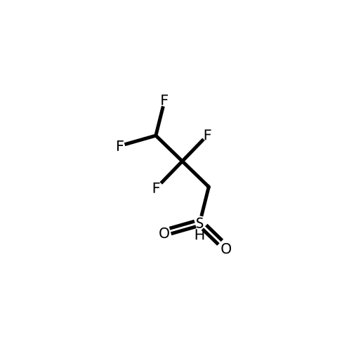 O=[SH](=O)CC(F)(F)C(F)F